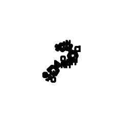 CC1(C)Cc2c(-c3cc(NC(=O)NC4CC45CCN(S(C)(=O)=O)CC5)ncc3Cl)cnn2C1